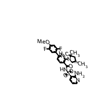 COc1cc(F)c(-c2ccc(C(=O)NS(=O)(=O)c3cccnc3N)c(N3C[C@@H](C)CC3(C)C)n2)cc1F